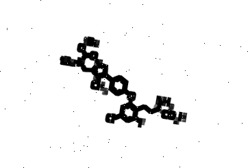 Cn1c(-c2ccc(Oc3cc(Cl)cc(F)c3CC[C@H](N)C(=O)O)cc2)cnc1CN(C(=O)OC(C)(C)C)C(C)(C)C